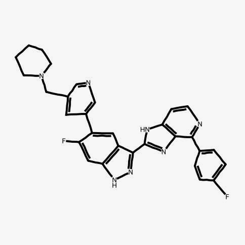 Fc1ccc(-c2nccc3[nH]c(-c4n[nH]c5cc(F)c(-c6cncc(CN7CCCCC7)c6)cc45)nc23)cc1